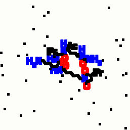 CC(=O)C(CCCNC(N)=O)NC(=O)C(NC(=O)C(CCCCN)NC(=O)CCCCCN1C(=O)CC(C(C)C)C1=O)C(C)C